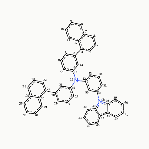 c1cc(-c2cccc3ccccc23)cc(N(c2cccc(-c3cccc4ccccc34)c2)c2cccc(-n3c4ccccc4c4ccccc43)c2)c1